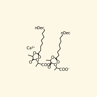 CCCCCCCCCCCCCCCCCC(=O)OC(C)C(=O)OC(C)C(=O)[O-].CCCCCCCCCCCCCCCCCC(=O)OC(C)C(=O)OC(C)C(=O)[O-].[Ca+2]